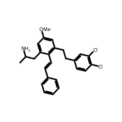 COc1cc(CCc2ccc(Cl)c(Cl)c2)c(C=Cc2ccccc2)c(CC(C)N)c1